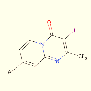 CC(=O)c1ccn2c(=O)c(I)c(C(F)(F)F)nc2c1